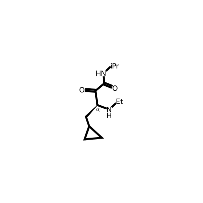 CCN[C@@H](CC1CC1)C(=O)C(=O)NC(C)C